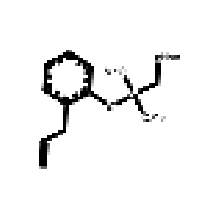 C=CCc1ccccc1O[Si](CCCCCCCCCC)(OC)OC